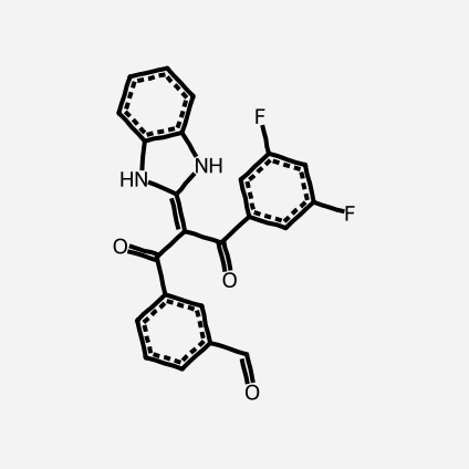 O=Cc1cccc(C(=O)C(C(=O)c2cc(F)cc(F)c2)=C2Nc3ccccc3N2)c1